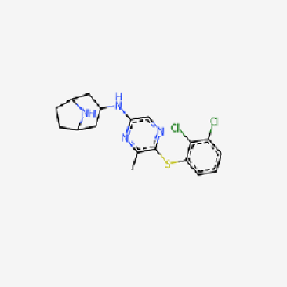 Cc1nc(NC2CC3CCC(C2)N3)cnc1Sc1cccc(Cl)c1Cl